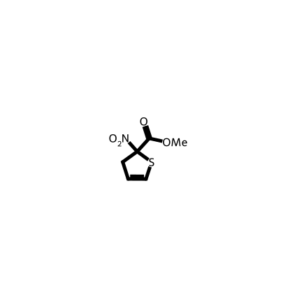 COC(=O)C1([N+](=O)[O-])CC=CS1